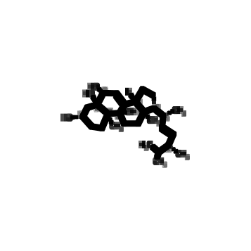 CC(C)[C@@H](C)C=C[C@@H](C)[C@H]1CC[C@H]2C3=C[C@@H](O)[C@@]4(O)C[C@@H](O)CC[C@]4(C)[C@@]3(O)CC[C@]12C